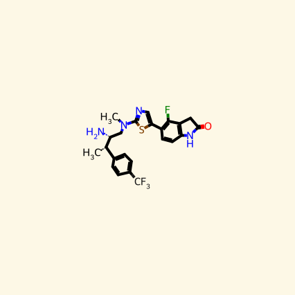 C[C@@H](c1ccc(C(F)(F)F)cc1)[C@H](N)CN(C)c1ncc(-c2ccc3c(c2F)CC(=O)N3)s1